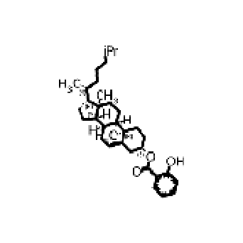 CC(C)CCC[C@@H](C)[C@H]1CC[C@H]2[C@@H]3CC=C4C[C@@H](OC(=O)c5ccccc5O)CC[C@]4(C)[C@H]3CC[C@]12C